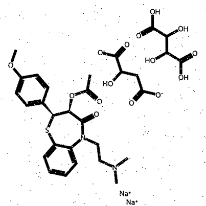 COc1ccc([C@@H]2Sc3ccccc3N(CCN(C)C)C(=O)[C@@H]2OC(C)=O)cc1.O=C(O)C(O)C(O)C(=O)O.O=C([O-])CC(O)C(=O)[O-].[Na+].[Na+]